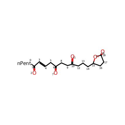 CCCCCC(=O)/C=C/CC(=O)CCC(=O)CCCC1CCC(=O)O1